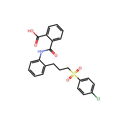 O=C(O)c1ccccc1C(=O)Nc1ccccc1CCCS(=O)(=O)c1ccc(Cl)cc1